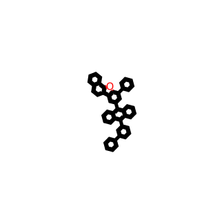 c1ccc(-c2cccc(-c3c4ccccc4c(-c4cc(-c5ccccc5)c5oc6c7ccccc7ccc6c5c4)c4ccccc34)c2)cc1